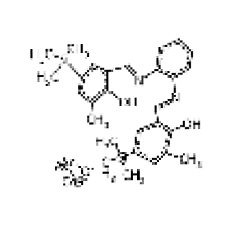 CC(=O)[O-].CC(=O)[O-].Cc1cc([Si](C)(C)C)cc(C=Nc2ccccc2N=Cc2cc([Si](C)(C)C)cc(C)c2O)c1O.[Co+2]